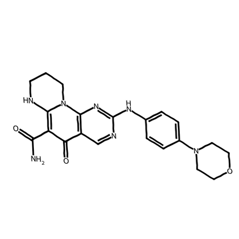 NC(=O)c1c2n(c3nc(Nc4ccc(N5CCOCC5)cc4)ncc3c1=O)CCCN2